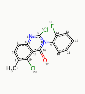 Cc1ccc2nc(Cl)n(-c3ccccc3F)c(=O)c2c1Cl